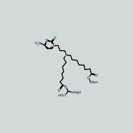 CCCCCCCCCOC(=O)CCCCCCCN(CCCCCCCC(=O)OC(CCCCCCC)CCCCCCCC)CCCn1ccc(N)nc1=O